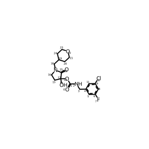 O=C(NCc1cc(F)cc(Cl)c1)OC1(O)CCN(CC2CCOCC2)C1=O